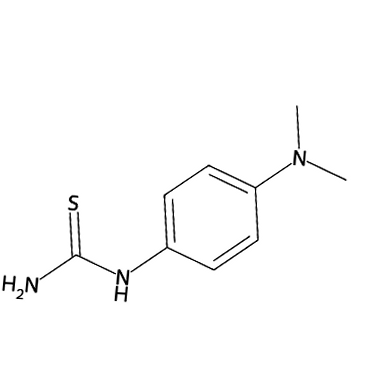 CN(C)c1ccc(NC(N)=S)cc1